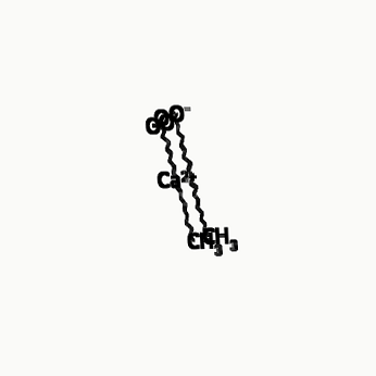 CCCCCC=CCC=CCC=CCC=CCCCC(=O)[O-].CCCCCC=CCC=CCC=CCC=CCCCC(=O)[O-].[Ca+2]